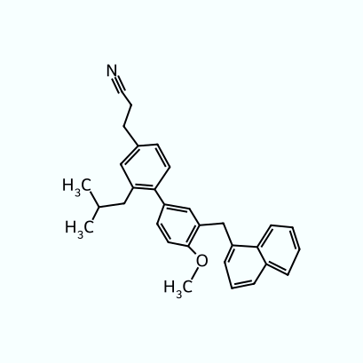 COc1ccc(-c2ccc(CCC#N)cc2CC(C)C)cc1Cc1cccc2ccccc12